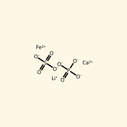 O=P([O-])([O-])[O-].O=S(=O)([O-])[O-].[Ca+2].[Fe+2].[Li+]